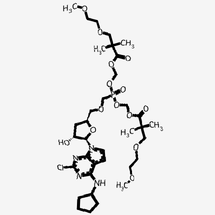 COCCOCC(C)(C)C(=O)OCOP(=O)(COC[C@@H]1C[C@@H](O)[C@H](n2ccc3c(NC4CCCC4)nc(Cl)nc32)O1)OCOC(=O)C(C)(C)COCCOC